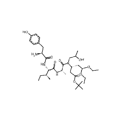 CCOC(C[C@H](CC(=O)OC(C)(C)C)N(CC(C)O)C(=O)[C@H](C)NC(=O)[C@@H](NC(=O)[C@@H](N)Cc1ccc(O)cc1)[C@@H](C)CC)OCC